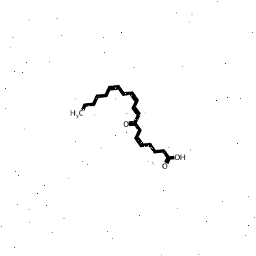 CCCCC/C=C\C/C=C\C=C\C(=O)C/C=C\CCCC(=O)O